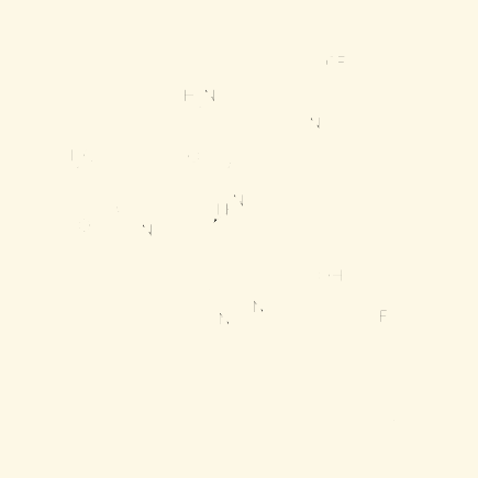 C=CC(=O)N1CCc2nn(-c3ccc(C4CC4)c(F)c3O)c3c2[C@H](C1)N(C(=O)c1cnc(C(F)(F)F)cc1N)CC3